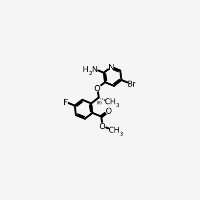 COC(=O)c1ccc(F)cc1[C@@H](C)Oc1cc(Br)cnc1N